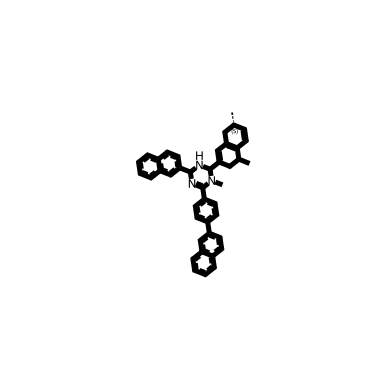 CC1CC(C2NC(c3ccc4ccccc4c3)N=C(c3ccc(-c4ccc5ccccc5c4)cc3)N2C)=CC2=C1C=C[C@@H](C)C2